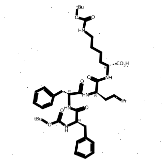 CC(C)CC[C@@H](NC(=O)[C@@H](Cc1ccccc1)NC(=O)[C@@H](Cc1ccccc1)NC(=O)OC(C)(C)C)C(=O)N[C@H](CCCCNC(=O)OC(C)(C)C)C(=O)O